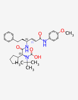 COc1ccc(NC(=O)/C=C/[C@H](CCc2ccccc2)NC(=O)[C@H](C2CCCC2)N(C(=O)O)C(C)(C)C)cc1